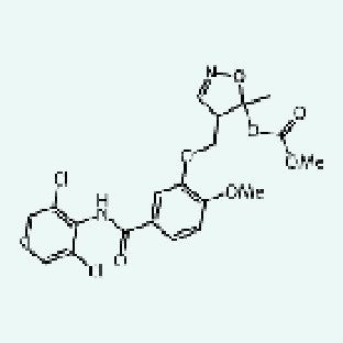 COC(=O)OC1(C)ON=CC1COc1cc(C(=O)Nc2c(Cl)cncc2Cl)ccc1OC